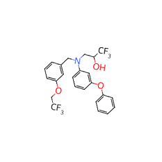 OC(CN(Cc1cccc(OCC(F)(F)F)c1)c1cccc(Oc2ccccc2)c1)C(F)(F)F